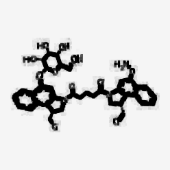 NOc1cc2c(c3ccccc13)[C@H](CCl)CN2C(=O)CCCC(=O)N1C[C@@H](CCl)c2c1cc(O[C@@H]1OC(CO)[C@H](O)[C@H](O)[C@H]1O)c1ccccc21